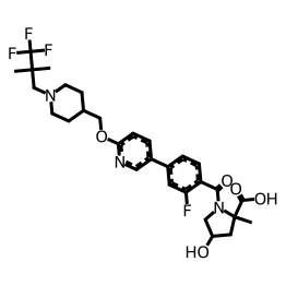 CC1(C(=O)O)CC(O)CN1C(=O)c1ccc(-c2ccc(OCC3CCN(CC(C)(C)C(F)(F)F)CC3)nc2)cc1F